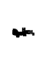 C[C@@H]1CC[C@H](c2ncc(-c3ccc(-c4ccc(OS(=O)(=O)C(F)(F)F)c5c4C4CCC5C4)cc3)[nH]2)C1